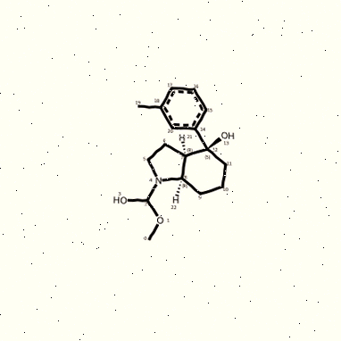 COC(O)N1CC[C@@H]2[C@H]1CCC[C@@]2(O)c1cccc(C)c1